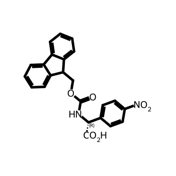 O=C(N[C@@H](C(=O)O)c1ccc([N+](=O)[O-])cc1)OCC1c2ccccc2-c2ccccc21